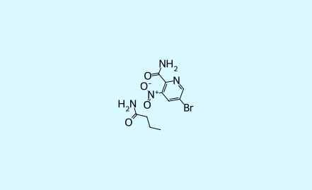 CCCC(N)=O.NC(=O)c1ncc(Br)cc1[N+](=O)[O-]